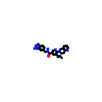 Cc1cc(C(=O)NCc2ccc3nn[nH]c3c2)cnc1N1CCc2ncccc2C1